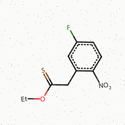 CCOC(=S)Cc1cc(F)ccc1[N+](=O)[O-]